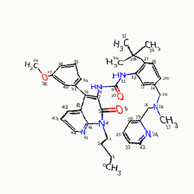 CCCCn1c(=O)c(NC(=O)Nc2cc(CN(C)Cc3ccccn3)ccc2C(C)(C)C)c(-c2cccc(OC)c2)c2cccnc21